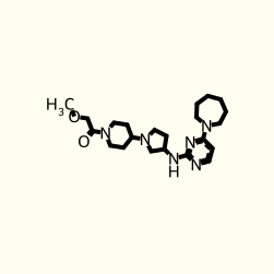 COCC(=O)N1CCC(N2CCC(Nc3nccc(N4CCCCCC4)n3)C2)CC1